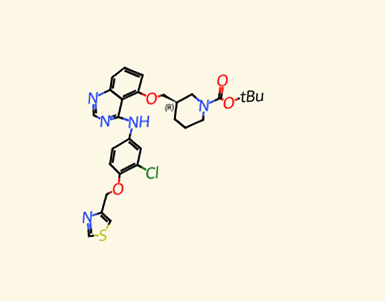 CC(C)(C)OC(=O)N1CCC[C@@H](COc2cccc3ncnc(Nc4ccc(OCc5cscn5)c(Cl)c4)c23)C1